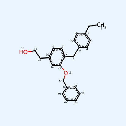 CCc1ccc(Cc2ccc(CCO)cc2OCc2ccccc2)cc1